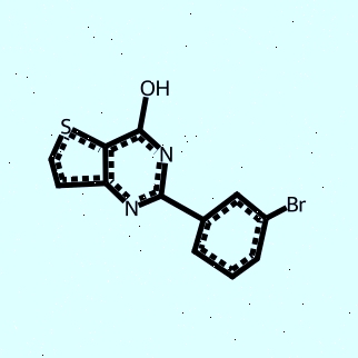 Oc1nc(-c2cccc(Br)c2)nc2ccsc12